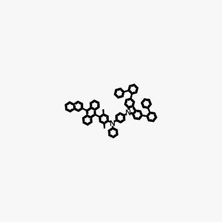 Cc1cc(N(c2ccccc2)c2ccc(-n3c4ccc(-c5ccccc5-c5ccccc5)cc4c4cc(-c5ccccc5-c5ccccc5)ccc43)cc2)c(C)cc1-c1c2ccccc2c(-c2ccc3ccccc3c2)c2ccccc12